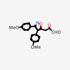 COc1ccc(-c2noc(CC(=O)C=O)c2-c2ccc(OC)cc2)cc1